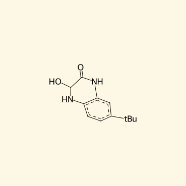 CC(C)(C)c1ccc2c(c1)NC(=O)C(O)N2